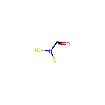 O=CN(S)S